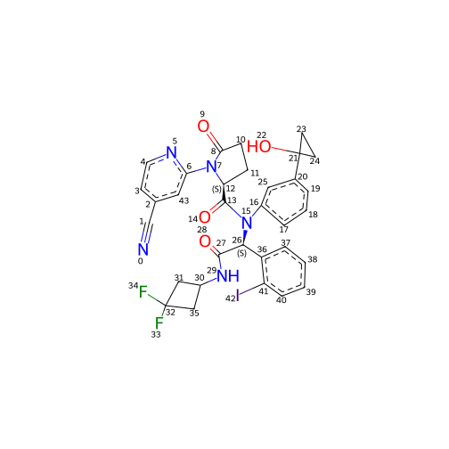 N#Cc1ccnc(N2C(=O)CC[C@H]2C(=O)N(c2cccc(C3(O)CC3)c2)[C@H](C(=O)NC2CC(F)(F)C2)c2ccccc2I)c1